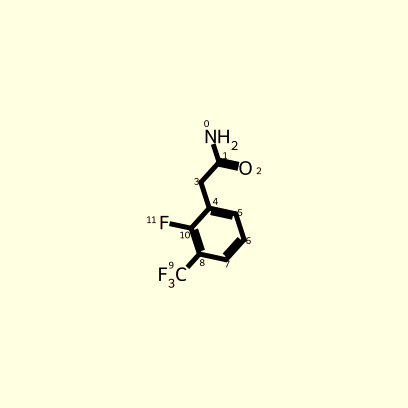 NC(=O)Cc1cccc(C(F)(F)F)c1F